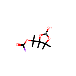 CC1(C)OB(O)OC1(C)C(C)(C)OC(=O)I